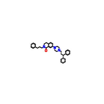 O=C1c2cc(N3CCN(CCC(c4ccccc4)c4ccccc4)CC3)ccc2CCN1CCCc1ccccc1